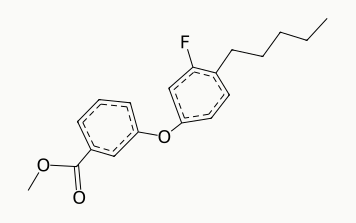 CCCCCc1ccc(Oc2cccc(C(=O)OC)c2)cc1F